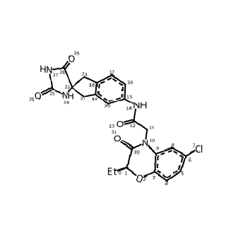 CCC1Oc2ccc(Cl)cc2N(CC(=O)Nc2ccc3c(c2)CC2(C3)NC(=O)NC2=O)C1=O